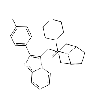 O=C(N1CCOCC1)N1C2CCC1CN(Cc1c(-c3ccc(Cl)cc3)nc3ccccn13)C2